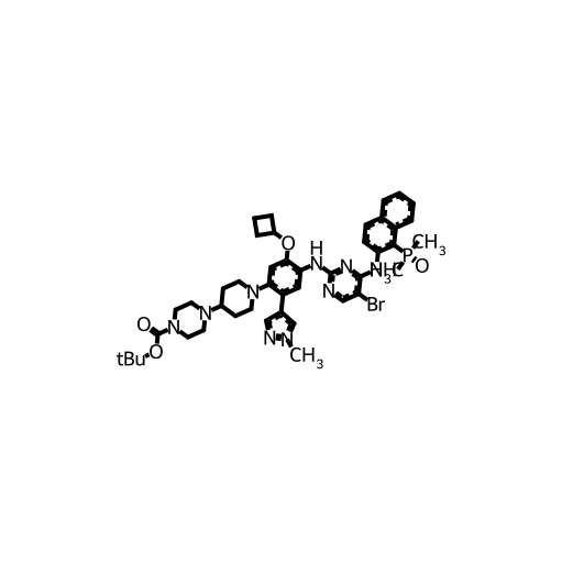 Cn1cc(-c2cc(Nc3ncc(Br)c(Nc4ccc5ccccc5c4P(C)(C)=O)n3)c(OC3CCC3)cc2N2CCC(N3CCN(C(=O)OC(C)(C)C)CC3)CC2)cn1